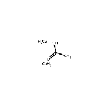 CC(=O)O.[CaH2].[CaH2]